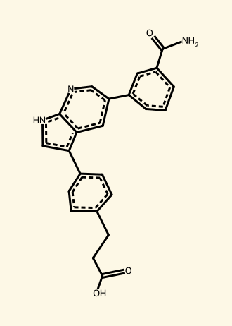 NC(=O)c1cccc(-c2cnc3[nH]cc(-c4ccc(CCC(=O)O)cc4)c3c2)c1